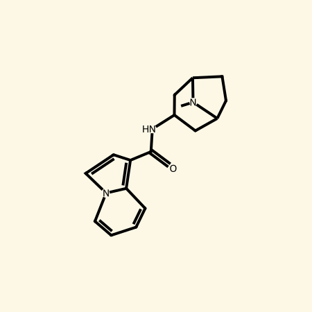 CN1C2CCC1CC(NC(=O)c1ccn3ccccc13)C2